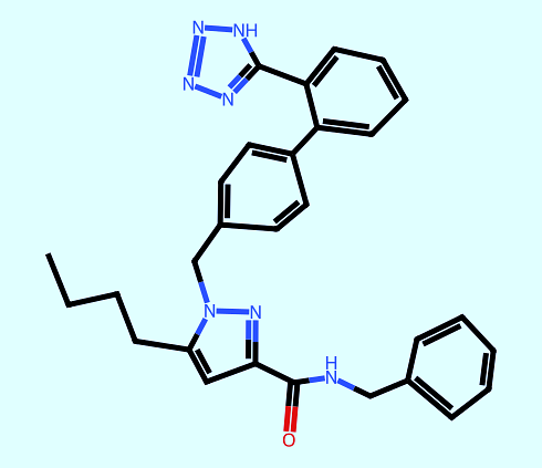 CCCCc1cc(C(=O)NCc2ccccc2)nn1Cc1ccc(-c2ccccc2-c2nnn[nH]2)cc1